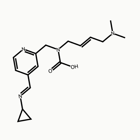 CN(C)CC=CCN(Cc1cc(C=NC2CC2)ccn1)C(=O)O